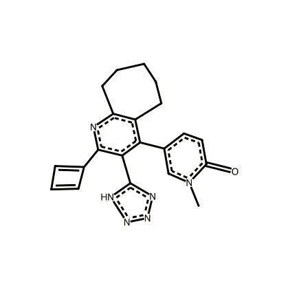 Cn1cc(-c2c3c(nc(C4=CC=C4)c2-c2nnn[nH]2)CCCCC3)ccc1=O